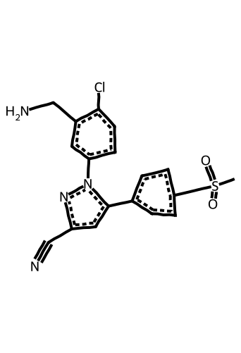 CS(=O)(=O)c1ccc(-c2cc(C#N)nn2-c2ccc(Cl)c(CN)c2)cc1